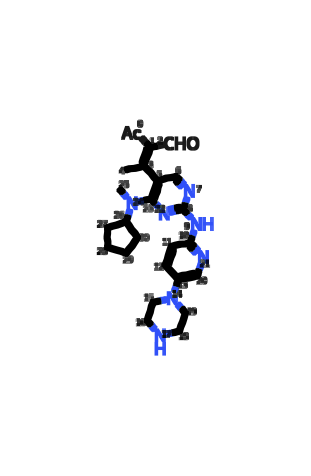 CC(=O)/C(C=O)=C(\C)c1cnc(Nc2ccc(N3CCNCC3)cn2)nc1N(C)C1CCCC1